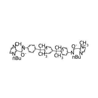 CCCCn1cc[n+](C)c1/C([O-])=N/c1ccc(C(C)(C)c2ccc(C(C)(C)c3ccc(/N=C(\[O-])c4n(CCCC)cc[n+]4C)cc3)cc2)cc1